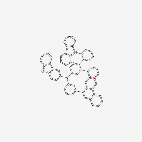 c1ccc(-c2cc(N(c3cccc(-c4cc5ccccc5c5ccccc45)c3)c3ccc4oc5ccccc5c4c3)ccc2-c2ccccc2-n2c3ccccc3c3ccccc32)cc1